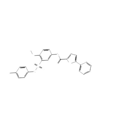 COc1ccc(NC(=O)c2ccc(-c3ccccc3)o2)cc1S(=O)(=O)Nc1ccc(Cl)cc1